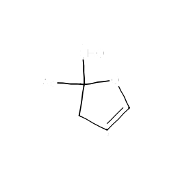 CC(=O)C1(C=O)CC=CO1